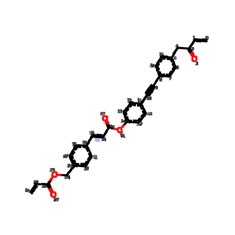 C=CC(=O)Cc1ccc(C#Cc2ccc(OC(=O)/C=C/c3ccc(COC(=O)C=C)cc3)cc2)cc1